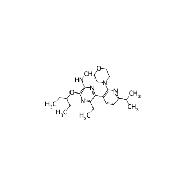 CCc1nc(OC(CC)CC)c(NC)nc1-c1ccc(C(C)C)nc1N1CCOCC1